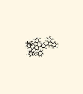 CC1(C)c2ccccc2-c2c(-c3ccc(-c4cc5ccccc5c5c4=CCCC=5)cc3)c3c(c(N(c4ccccc4)c4ccccc4)c21)C(C)(C)c1ccccc1-3